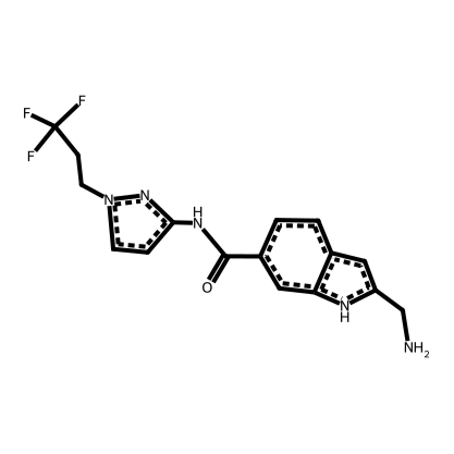 NCc1cc2ccc(C(=O)Nc3ccn(CCC(F)(F)F)n3)cc2[nH]1